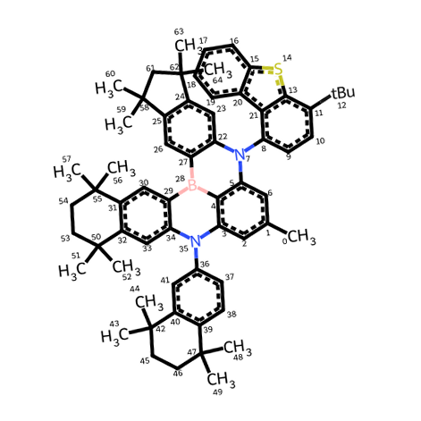 Cc1cc2c3c(c1)N(c1ccc(C(C)(C)C)c4sc5ccccc5c14)c1cc4c(cc1B3c1cc3c(cc1N2c1ccc2c(c1)C(C)(C)CCC2(C)C)C(C)(C)CCC3(C)C)C(C)(C)CC4(C)C